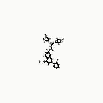 Cc1ccncc1-c1cc2cc(NC(=O)[C@@H]3C(c4c[nH]cn4)[C@H]3c3cnn(C)c3)ncc2c(N)c1F